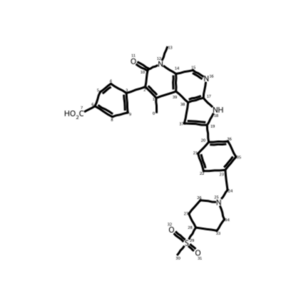 Cc1c(-c2ccc(C(=O)O)cc2)c(=O)n(C)c2cnc3[nH]c(-c4ccc(CN5CCC(S(C)(=O)=O)CC5)cc4)cc3c12